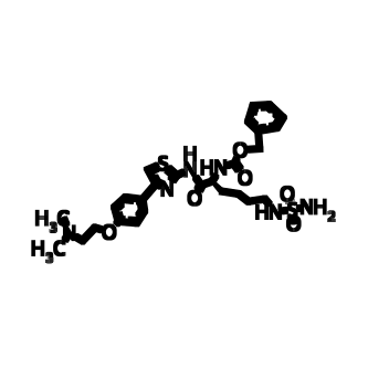 CN(C)CCOc1ccc(-c2csc(NC(=O)[C@H](CCCCNS(N)(=O)=O)NC(=O)OCc3ccccc3)n2)cc1